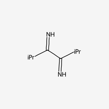 CC(C)C(=N)C(=N)C(C)C